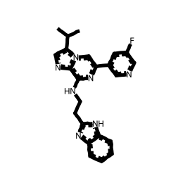 CC(C)c1cnc2c(NCCc3nc4ccccc4[nH]3)nc(-c3cncc(F)c3)cn12